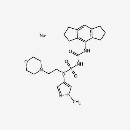 Cn1cc(N(CCN2CCOCC2)S(=O)(=O)NC(=O)Nc2c3c(cc4c2CCC4)CCC3)cn1.[Na]